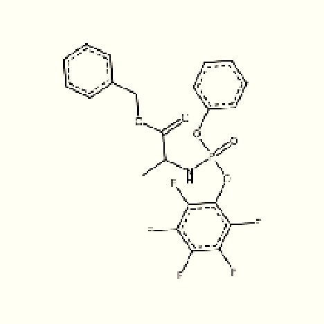 CC(NP(=O)(Oc1ccccc1)Oc1c(F)c(F)c(F)c(F)c1F)C(=O)OCc1ccccc1